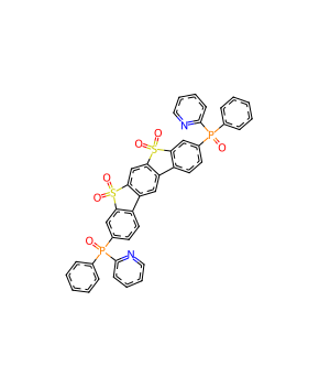 O=P(c1ccccc1)(c1ccc2c(c1)S(=O)(=O)c1cc3c(cc1-2)-c1ccc(P(=O)(c2ccccc2)c2ccccn2)cc1S3(=O)=O)c1ccccn1